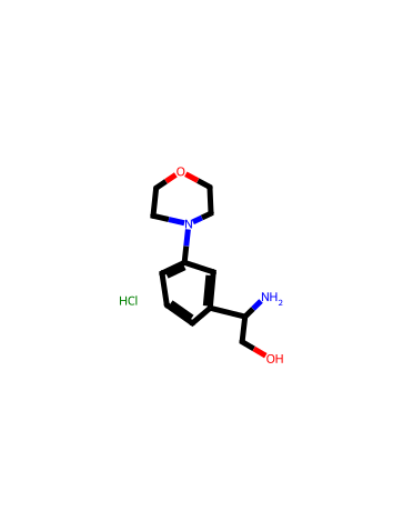 Cl.NC(CO)c1cccc(N2CCOCC2)c1